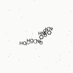 C=Nc1cccc(S(=O)(=O)Nc2ccc(C(=O)N3CCC(O)(CCCC(C)(C)O)CC3)cc2)c1/N=C\C